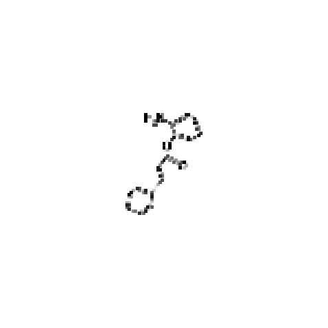 Nc1ccccc1OC(=O)C=Cc1ccccc1